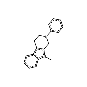 Cn1c2c(c3ccccc31)CCN(c1ccccc1)C2